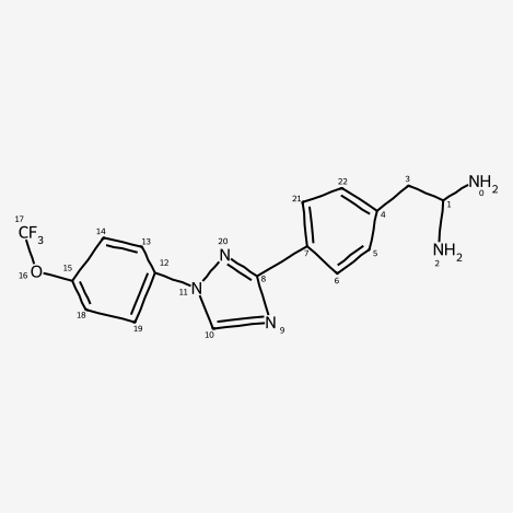 NC(N)Cc1ccc(-c2ncn(-c3ccc(OC(F)(F)F)cc3)n2)cc1